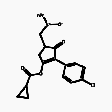 CCC[S+]([O-])CC1CC(OC(=O)C2CC2)=C(c2ccc(Cl)cc2)C1=O